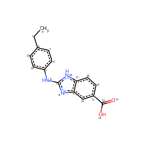 CCc1ccc(Nc2nc3cc(C(=O)O)ccc3[nH]2)cc1